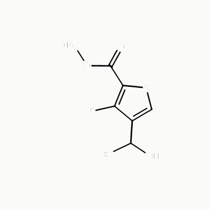 CCC(O)c1csc(C(=O)OC(C)(C)C)c1F